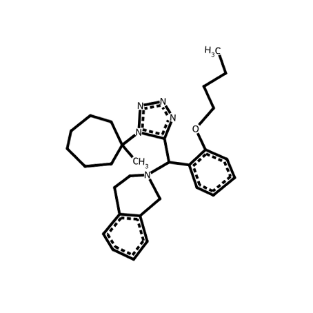 CCCCOc1ccccc1C(c1nnnn1C1(C)CCCCCC1)N1CCc2ccccc2C1